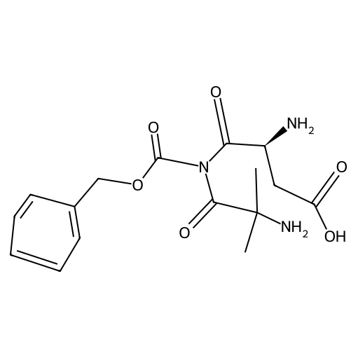 CC(C)(N)C(=O)N(C(=O)OCc1ccccc1)C(=O)[C@@H](N)CC(=O)O